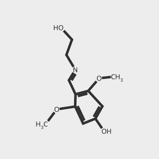 COc1cc(O)cc(OC)c1C=NCCO